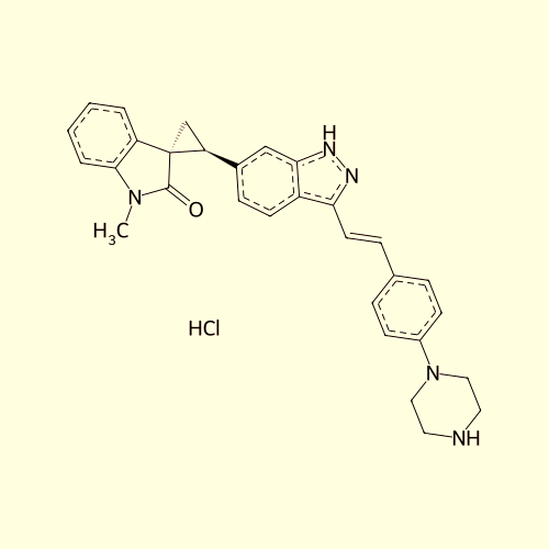 CN1C(=O)[C@@]2(C[C@H]2c2ccc3c(/C=C/c4ccc(N5CCNCC5)cc4)n[nH]c3c2)c2ccccc21.Cl